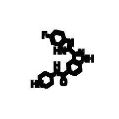 O=C(NC1CCNCC1)c1ccc2[nH]nc(-c3nc4ccc(F)cc4[nH]3)c2c1